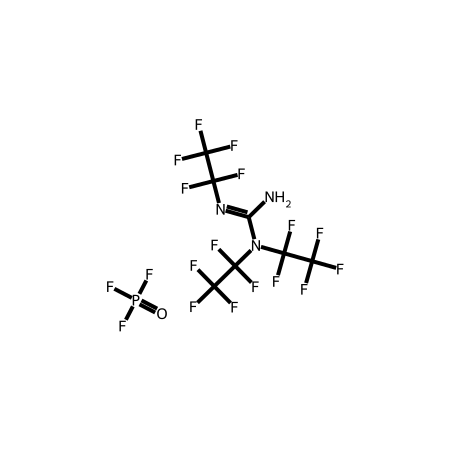 NC(=NC(F)(F)C(F)(F)F)N(C(F)(F)C(F)(F)F)C(F)(F)C(F)(F)F.O=P(F)(F)F